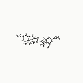 Cc1cc(F)c2c(c1)CC(CCC1Cc3cc(C)cc(F)c3C1(F)F)C2(F)F